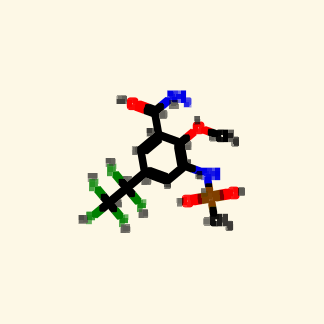 COc1c(NS(C)(=O)=O)cc(C(F)(F)C(F)(F)F)cc1C(N)=O